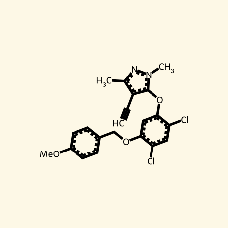 C#Cc1c(C)nn(C)c1Oc1cc(OCc2ccc(OC)cc2)c(Cl)cc1Cl